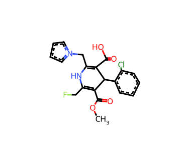 COC(=O)C1=C(CF)NC(Cn2cccc2)=C(C(=O)O)C1c1ccccc1Cl